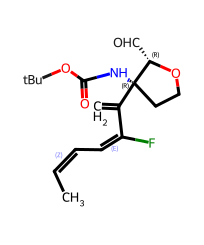 C=C(/C(F)=C\C=C/C)[C@]1(NC(=O)OC(C)(C)C)CCO[C@H]1C=O